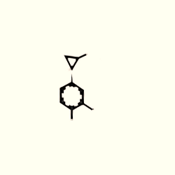 CCc1ccc([C@H]2CC2C(=O)O)cc1I